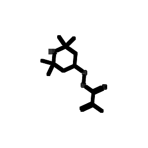 C=C(C)C(=O)OOC1CC(C)(C)NC(C)(C)C1